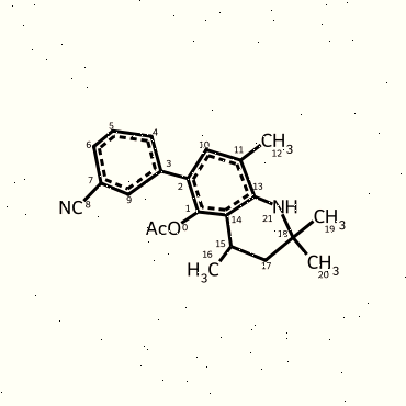 CC(=O)Oc1c(-c2cccc(C#N)c2)cc(C)c2c1C(C)CC(C)(C)N2